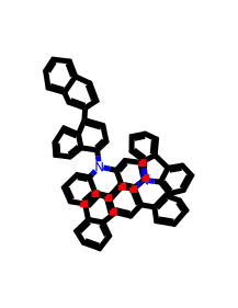 c1ccc(-c2ccc(-c3ccccc3N(c3ccccc3-c3ccc4ccccc4c3)c3ccc(-c4ccc5ccccc5c4)c4ccccc34)cc2-n2c3ccccc3c3ccccc32)cc1